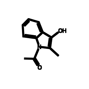 CC(=O)n1c(C)c(O)c2ccccc21